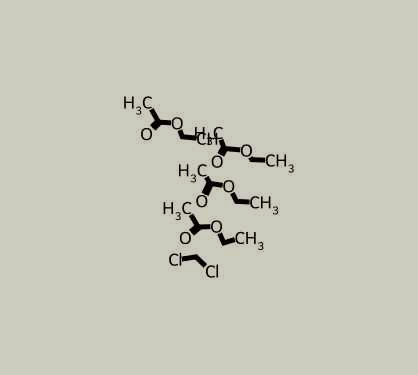 CCOC(C)=O.CCOC(C)=O.CCOC(C)=O.CCOC(C)=O.ClCCl